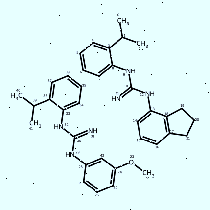 CC(C)c1ccccc1NC(=N)Nc1cccc2c1CCC2.COc1cccc(NC(=N)Nc2ccccc2C(C)C)c1